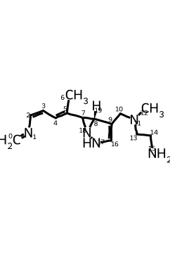 C=N/C=C\C=C(/C)C1[C@@H]2C(CN(C)CCN)=CNN12